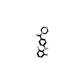 O=C(c1ccc(Nc2c(F)cccc2F)cc1)N1CCOCC1